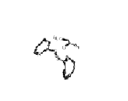 C=CC(=O)O.c1ccc(SSc2ccccn2)nc1